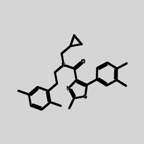 Cc1ccc(C)c(CCN(CC2CC2)C(=O)c2nc(C)sc2-c2ccc(C)c(C)c2)c1